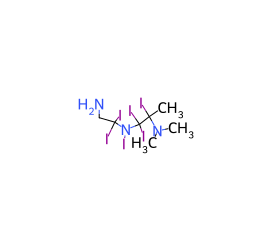 CN(C)C(C)(I)C(I)(I)N(I)C(I)(I)CN